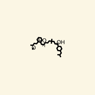 COC(C)CCC1CCCCC1C[C@@H](C)C(O)CCC(C)(C)CC[C@H](O)C1CCC(CC(C)C)CC1